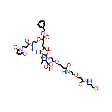 COCCCNC(=O)CCOCCNC(=O)CCCOCCNC(=O)[C@H](CC(C)CC(=O)O)NC(=O)CCC(OCCNC(=O)CCN1C(=O)C=CC1=O)C(=O)OCc1ccccc1